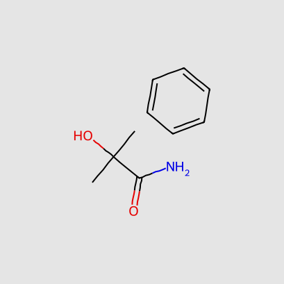 CC(C)(O)C(N)=O.c1ccccc1